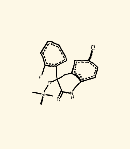 C[Si](C)(C)OC1(c2ccccc2F)C(=O)Nc2ccc(Cl)cc21